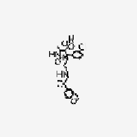 CC1=C(C(=O)O)C(c2cccc(Cl)c2)N(CCCNCC(=O)c2ccc3c(c2)CCO3)C(=O)N1